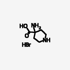 Br.NC1(C(=O)O)CCNCC1